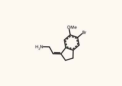 COc1cc2c(cc1Br)CC/C2=C/CN